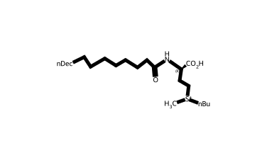 CCCCCCCCCCCCCCCCCC(=O)N[C@H](CC[S+](C)CCCC)C(=O)O